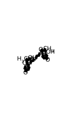 CC(CO)C(=O)N(CCCCNCCCN(C(=O)C(C)CO)n1ccc(=O)cc1)n1ccc(=O)cc1